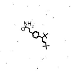 CC(C)(C)C=CC(c1ccc(CCC(N)=O)cc1)C(C)(C)C